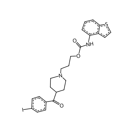 O=C(Nc1cccc2sccc12)OCCCN1CCC(C(=O)c2ccc(I)cc2)CC1